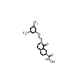 O=C(NO)c1ccc2ccn(CCOc3cc(C(F)(F)F)cc(C(F)(F)F)c3)c(=O)c2c1